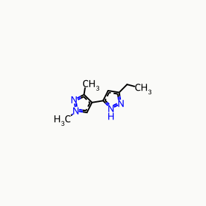 CCc1cc(-c2cn(C)nc2C)[nH]n1